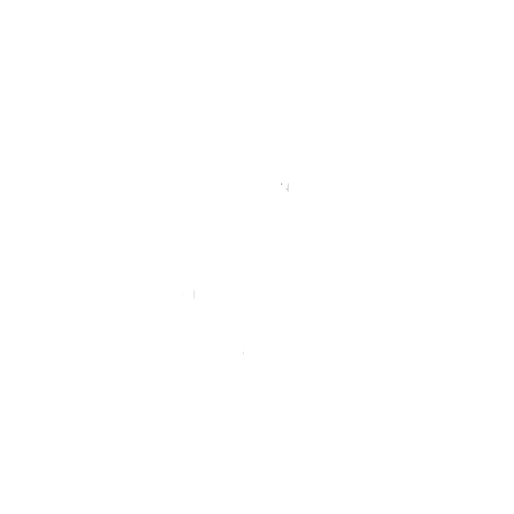 CBc1cccc2oc3ccc(C4C=c5c6ccccc6n6c5c(c5ccccc56)C4)cc3c12